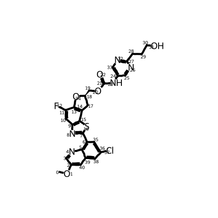 COc1cnc2c(-c3nc4cc(F)c5c(c4s3)C[C@H](COC(=O)Nc3cnc(CCCO)nc3)O5)cc(Cl)cc2c1